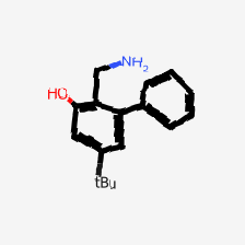 CC(C)(C)c1cc(O)c(CN)c(-c2ccccc2)c1